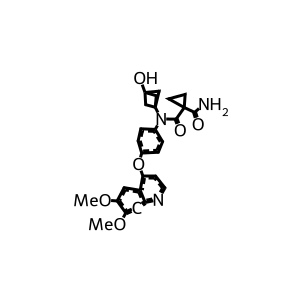 COc1cc2nccc(Oc3ccc(N(C(=O)C4(C(N)=O)CC4)C45CC(O)(C4)C5)cc3)c2cc1OC